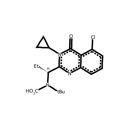 CC[C@H](c1nc2cccc(Cl)c2c(=O)n1C1CC1)N(C(=O)O)C(C)(C)C